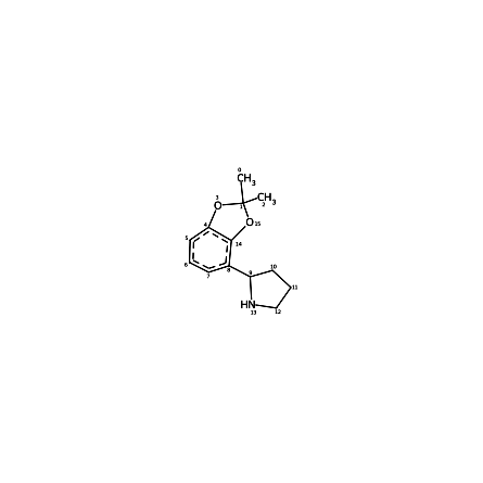 CC1(C)Oc2cccc(C3CCCN3)c2O1